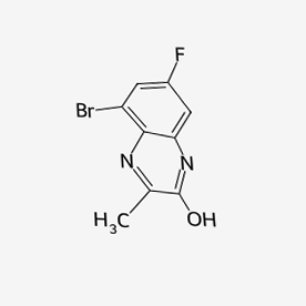 Cc1nc2c(Br)cc(F)cc2nc1O